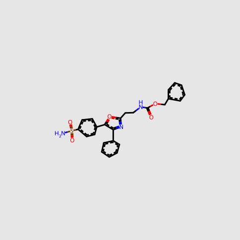 NS(=O)(=O)c1ccc(-c2oc(CCNC(=O)OCc3ccccc3)nc2-c2ccccc2)cc1